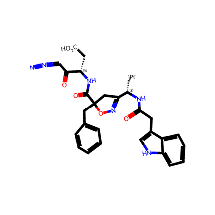 CC(C)[C@H](NC(=O)Cc1c[nH]c2ccccc12)C1=NOC(Cc2ccccc2)(C(=O)N[C@@H](CC(=O)O)C(=O)C=[N+]=[N-])C1